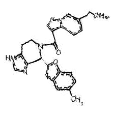 COCc1ccc2c(C(=O)N3CCc4[nH]cnc4[C@H]3c3nc4cc(C)ccc4o3)cnn2c1